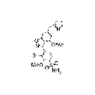 COc1c(S(N)(=O)=O)ccc(-c2noc3cc(Cn4cccn4)cc(OC)c23)c1Br